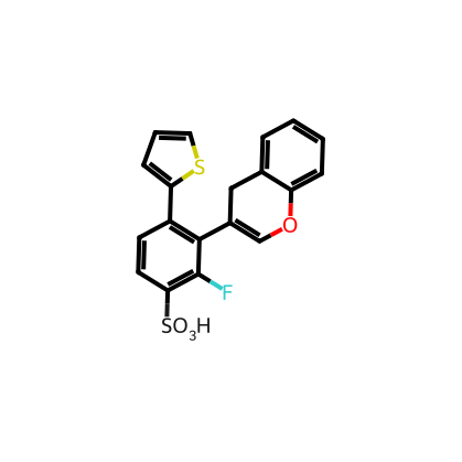 O=S(=O)(O)c1ccc(-c2cccs2)c(C2=COc3ccccc3C2)c1F